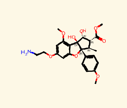 COC(=O)[C@H]1[C@@H](O)[C@@]2(O)c3c(OC)cc(OCCN)cc3O[C@@]2(c2ccc(OC)cc2)[C@@H]1C